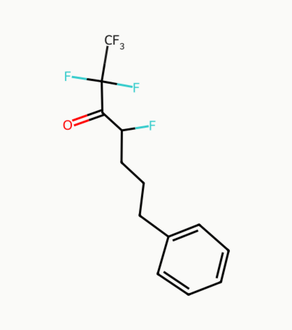 O=C(C(F)CCCc1ccccc1)C(F)(F)C(F)(F)F